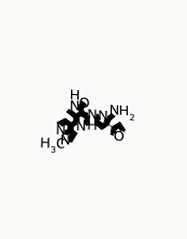 Cn1ccc2c(-c3ncc(Nc4ccc([C@@H]5CCOC5)c(CN)n4)c4c3CNC4=O)ccnc21